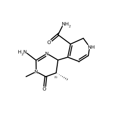 C[C@@H]1C(=O)N(C)C(N)=NC1C1=C(C(N)=O)CNC=[C]1